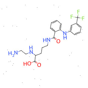 NCCNC(CCCNC(=O)c1ccccc1Nc1cccc(C(F)(F)F)c1)C(=O)O